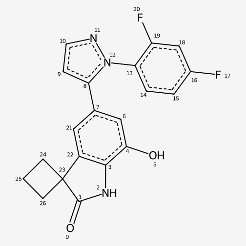 O=C1Nc2c(O)cc(-c3ccnn3-c3ccc(F)cc3F)cc2C12CCC2